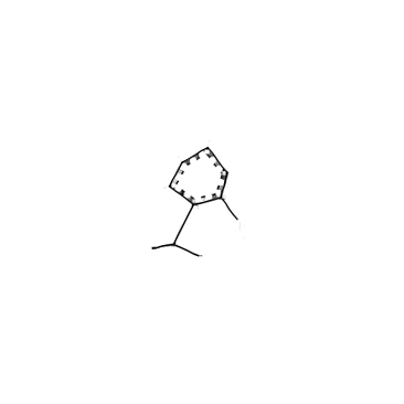 CC(I)c1ccccc1Br